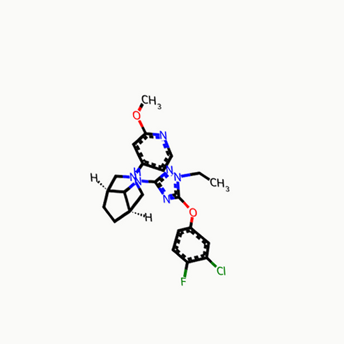 CCn1nc(NC2[C@@H]3CC[C@H]2CN(c2ccnc(OC)c2)C3)nc1Oc1ccc(F)c(Cl)c1